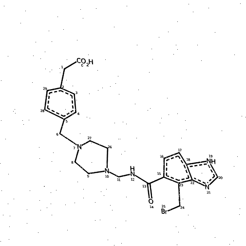 O=C(O)Cc1ccc(CN2CCN(CNC(=O)c3ccc4[nH]cnc4c3CBr)CC2)cc1